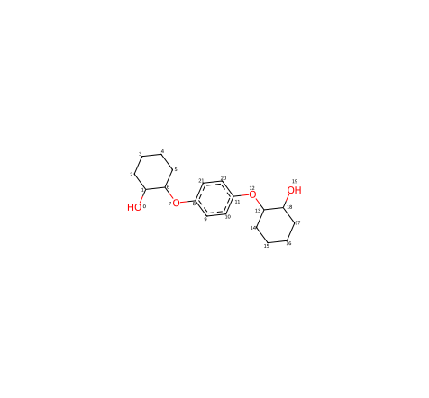 OC1CCCCC1Oc1ccc(OC2CCCCC2O)cc1